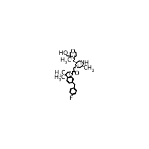 C[C@@H]1CN(CC(=O)N2CC(C)(C)c3ccc(Cc4ccc(F)cc4)cc32)[C@@H](CN2CCOC[C@@]2(C)CO)CN1